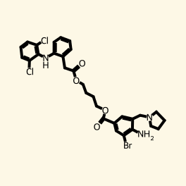 Nc1c(Br)cc(C(=O)OCCCCOC(=O)Cc2ccccc2Nc2c(Cl)cccc2Cl)cc1CN1CCCC1